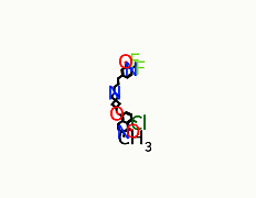 Cn1ccc2c(OC3CC4(C3)CN(CCCc3ccn(C(F)F)c(=O)c3)C4)ccc(Cl)c2c1=O